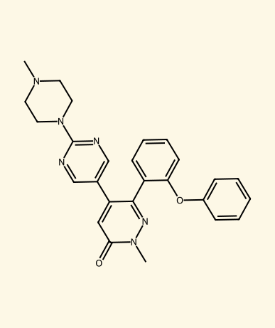 CN1CCN(c2ncc(-c3cc(=O)n(C)nc3-c3ccccc3Oc3ccccc3)cn2)CC1